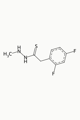 CNNC(=S)Cc1ccc(F)cc1F